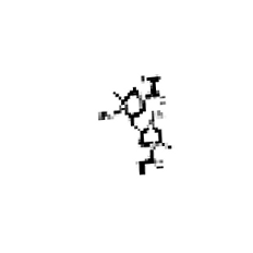 C=CC(=O)N1C[C@H](CC2CN(C(=O)C(=C)F)C[C@H](C)N2C(C)(C)C)N(C(C)(C)C)C[C@H]1C